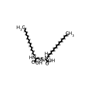 CCCCCCCCCCCCCCCCNC(CSSC[C@H](NCCCCCCCCCCCCCCCC)C(=O)O)C(=O)O